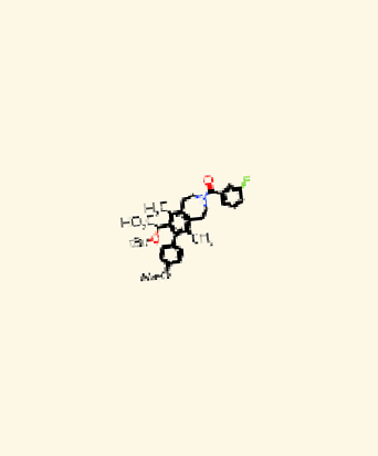 COc1ccc(-c2c(C)c3c(c(C)c2C(OC(C)(C)C)C(=O)O)CCN(C(=O)c2cccc(F)c2)CC3)cc1